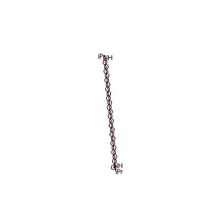 CC(C)CCC(=O)NCCOCCOCCOCCOCCOCCOCCOCCOCCOCCOCCOCCOCCOCCOCCOCCOCCOCCOCCOCCOCCOCCOCCOCCNC(C)C